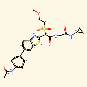 COCCS(=O)(=O)C(C(=O)NCC(=O)NC1CC1)c1nc2ccc(-c3ccc(NC(C)=O)cc3)cc2s1